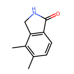 Cc1ccc2c(c1C)CNC2=O